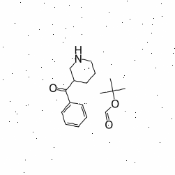 CC(C)(C)OC=O.O=C(c1ccccc1)C1CCCNC1